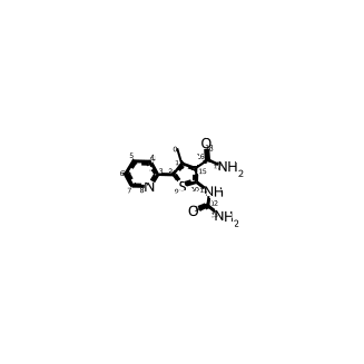 Cc1c(-c2ccccn2)sc(NC(N)=O)c1C(N)=O